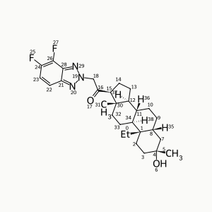 CC[C@]12CC[C@@](C)(O)C[C@H]1CC[C@H]1[C@@H]3CC[C@H](C(=O)Cn4nc5ccc(F)c(F)c5n4)[C@@]3(C)CC[C@@H]12